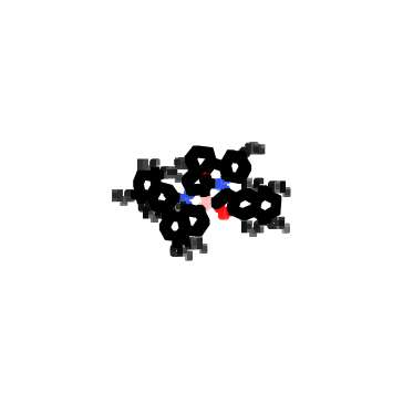 CC(C)(C)c1ccc(N2c3cc(C(C)(C)C)cc4c3B(c3ccc5c(c3N4c3ccc4c(c3)C(C)(C)CCC4(C)C)C(C)(C)CCC5(C)C)c3oc4cc5c(cc4c32)C(C)(C)CCC5(C)C)c(-c2ccccc2)c1